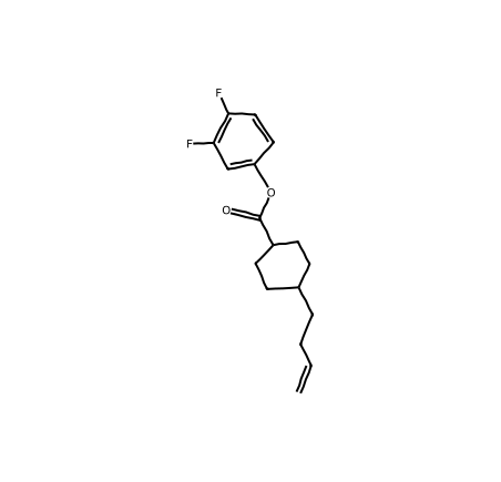 C=CCCC1CCC(C(=O)Oc2ccc(F)c(F)c2)CC1